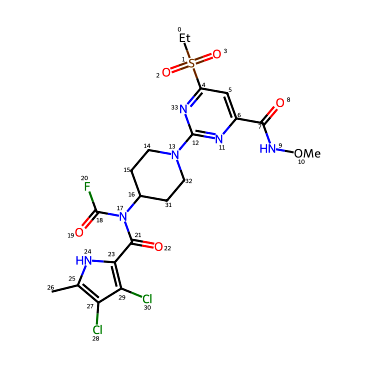 CCS(=O)(=O)c1cc(C(=O)NOC)nc(N2CCC(N(C(=O)F)C(=O)c3[nH]c(C)c(Cl)c3Cl)CC2)n1